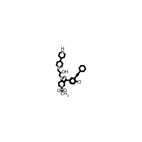 CS(=O)(=O)N1CCc2c(c(-c3ccc(Cl)c(C#CC4CCCCC4)c3)nn2C[C@@H](O)CN2CCC(C3CCNCC3)CC2)C1